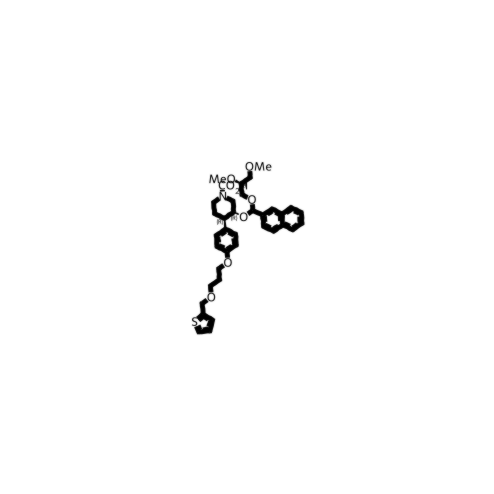 COC[C@@H](COC(O[C@H]1CN(C(=O)O)CC[C@@H]1c1ccc(OCCCOCc2cccs2)cc1)c1ccc2ccccc2c1)OC